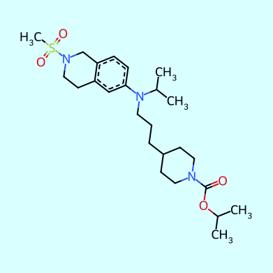 CC(C)OC(=O)N1CCC(CCCN(c2ccc3c(c2)CCN(S(C)(=O)=O)C3)C(C)C)CC1